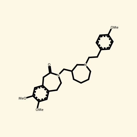 COc1ccc(CCN2CCCCC(CN3CCc4cc(OC)c(OC)cc4CC3=O)C2)cc1